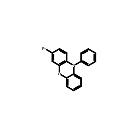 CCc1ccc2c(c1)Oc1ccccc1N2c1ccccc1